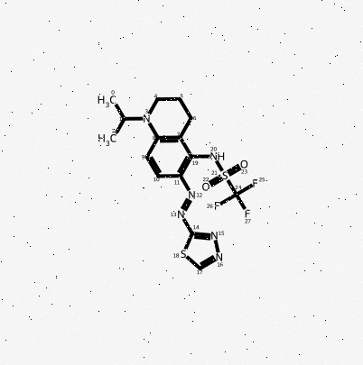 CC(C)N1CCCc2c1ccc(N=Nc1nncs1)c2NS(=O)(=O)C(F)(F)F